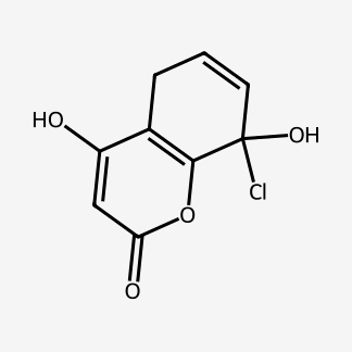 O=c1cc(O)c2c(o1)C(O)(Cl)C=CC2